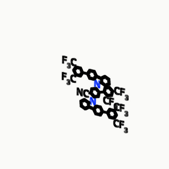 N#Cc1cc(-n2c3ccccc3c3ccc(-c4cc(C(F)(F)F)cc(C(F)(F)F)c4)cc32)c(-c2ccc(C(F)(F)F)cc2C(F)(F)F)cc1-n1c2ccccc2c2ccc(-c3cc(C(F)(F)F)cc(C(F)(F)F)c3)cc21